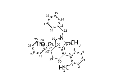 Cc1ccccc1C1=C2C(C)N(Cc3ccccc3)CC2(C(=O)O)C(c2ccccc2)CC1